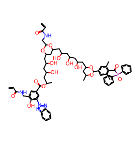 C=CC(=O)NCc1cc(C(=O)OC(C)CC(O)CC(O)CC2CC(CC(O)CC(O)CC(O)CC3CC(C)OC(c4cc(C)c(C(=O)P(=O)(c5ccccc5)c5ccccc5)c(C)c4)O3)OC(CNC(=O)C=C)O2)cc(-n2nc3ccccc3n2)c1O